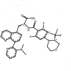 CN(C)c1cccnc1-c1ccc(C[C@H](NC(=O)c2c(F)cc(N3CCOC[C@@H]3C(F)(F)F)cc2F)C(=O)O)c2cccnc12